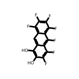 Oc1c(F)c(F)c2c(F)c3c(F)c(F)c(F)c(F)c3cc2c1O